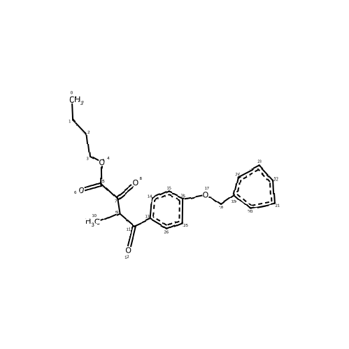 CCCCOC(=O)C(=O)C(C)C(=O)c1ccc(OCc2ccccc2)cc1